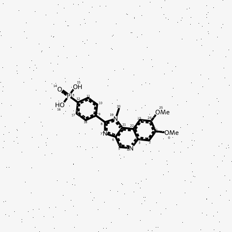 COc1cc2ncc3nc(-c4ccc(P(=O)(O)O)cc4)n(C)c3c2cc1OC